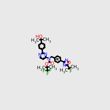 CC(C)(O)c1ccc(-c2nccc(N(CC34CCC(c5noc(C(C)(C)F)n5)(CC3)CC4)C(=O)OC(C)(C)C(F)(F)F)n2)cc1